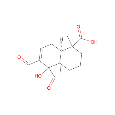 CC1(C(=O)O)CCCC2(C)[C@H]1CC=C(C=O)C2(O)C=O